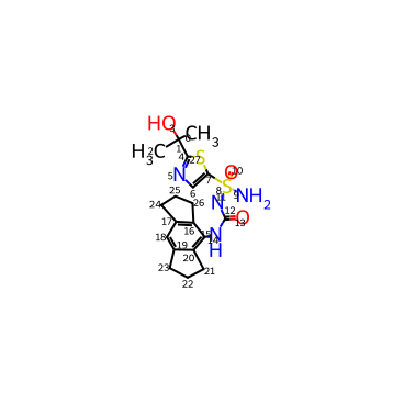 CC(C)(O)c1ncc(S(N)(=O)=NC(=O)Nc2c3c(cc4c2CCC4)CCC3)s1